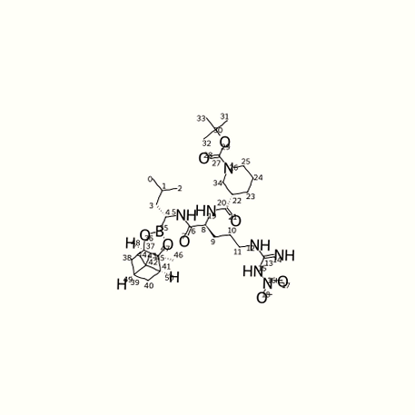 CC(C)C[C@H](NC(=O)[C@H](CCCNC(=N)N[N+](=O)[O-])NC(=O)[C@H]1CCCN(C(=O)OC(C)(C)C)C1)B1O[C@@H]2C[C@@H]3C[C@@H](C3(C)C)[C@]2(C)O1